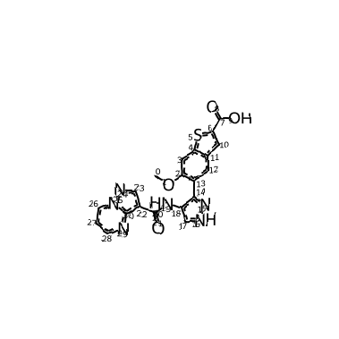 COc1cc2sc(C(=O)O)cc2cc1-c1n[nH]cc1NC(=O)c1cnn2cccnc12